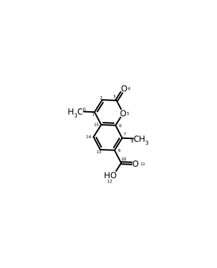 Cc1cc(=O)oc2c(C)c(C(=O)O)ccc12